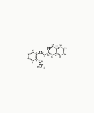 FC(F)(F)Oc1[c]cccc1OCc1cc2ccccc2cn1